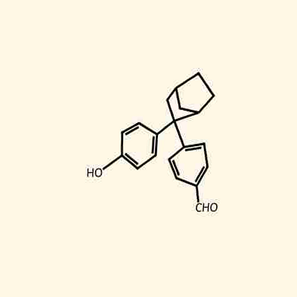 O=Cc1ccc(C2(c3ccc(O)cc3)CC3CCC2C3)cc1